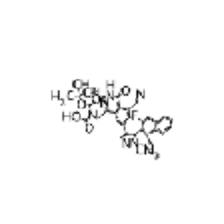 Cn1ncc(-c2cc(C#N)c3c(=O)[nH]nc(CN(C(=O)O)C(=O)OC(C)(C)C)c3c2)c1-c1c(F)cc2ccccc2c1C#N